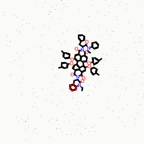 CCN(C(=O)C(Cc1ccccc1)N1C(=O)c2cc(Oc3ccc(C)cc3)c3c4c(Oc5ccc(C)cc5)cc5c6c(cc(Oc7ccc(C)cc7)c(c7c(Oc8ccc(C)cc8)cc(c2c37)C1=O)c64)C(=O)N(C(Cc1ccccc1)C(=O)N(CC)c1ccccc1)C5=O)c1ccccc1